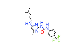 Cc1cc(NCCCC(C)C)nc(NC(=O)Nc2ccc(C(F)(F)F)cc2)n1